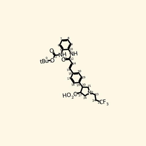 CC(C)(C)OC(=O)Nc1ccccc1NC(=O)/C=C/c1ccc(C2CN(CCC(F)(F)F)CC2C(=O)O)cc1